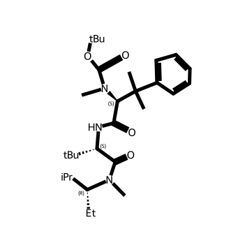 CC[C@H](C(C)C)N(C)C(=O)[C@@H](NC(=O)[C@@H](N(C)C(=O)OC(C)(C)C)C(C)(C)c1ccccc1)C(C)(C)C